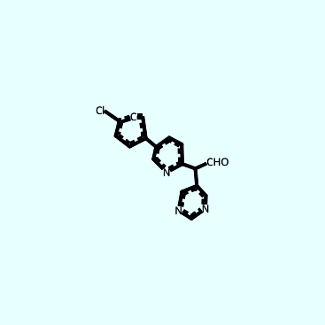 O=CC(c1cncnc1)c1ccc(-c2ccc(Cl)cc2)cn1